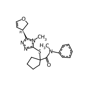 CN(C(=O)C1(Sc2nnc([C@H]3C=COC3)n2C)CCCC1)c1ccccc1